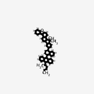 C=C/C=C\C(=C)c1c2ccccc2c(C2=c3ccccc3=C(c3ccc4c(c3)-c3ccc5c(ccc6oc7ccccc7c65)c3C4(C)C)CC2)c2ccccc12